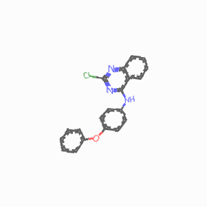 Clc1nc(Nc2ccc(Oc3ccccc3)cc2)c2ccccc2n1